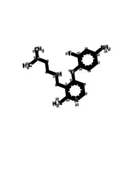 CN(C)CCNCc1c(Oc2ccc(N)cc2F)ccnc1N